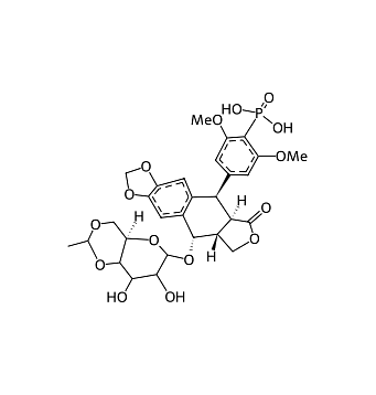 COc1cc([C@@H]2c3cc4c(cc3[C@@H](OC3O[C@@H]5COC(C)OC5C(O)C3O)[C@H]3COC(=O)[C@H]23)OCO4)cc(OC)c1P(=O)(O)O